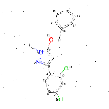 Cn1nc(-c2ccc(Cl)cc2Cl)[c]c1OCc1ccccc1